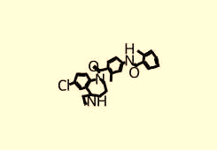 Cc1ccccc1C(=O)Nc1ccc(C(=O)N2CCCC3(CCN3)c3cc(Cl)ccc32)c(C)c1